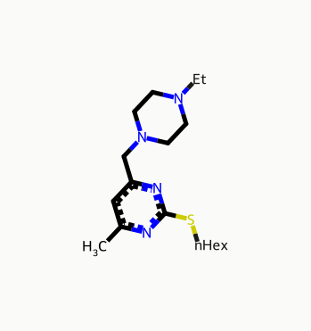 CCCCCCSc1nc(C)cc(CN2CCN(CC)CC2)n1